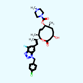 C/C(=C\c1cc(F)c2nnn(Cc3ccc(Cl)cc3)c2c1)[C@H]1OC(=O)C[C@H](O)CC[C@H](C)[C@H](OC(=O)N2CCN(C)CC2)/C=C/[C@@H]1C